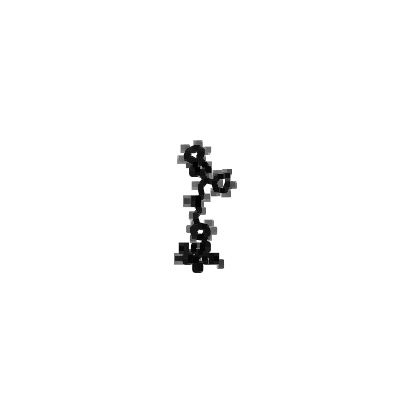 CC(C)(Oc1ccc(CCNCCC(c2nc3ccccc3o2)C2CCCCC2)cc1)C(=O)O